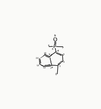 Cc1ccc(P(C)(C)=O)c2ccccc12